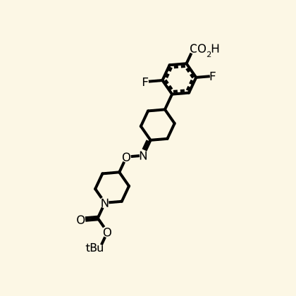 CC(C)(C)OC(=O)N1CCC(ON=C2CCC(c3cc(F)c(C(=O)O)cc3F)CC2)CC1